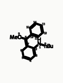 CCCCNC1=CC=CCC1=C(OC)c1ccccc1